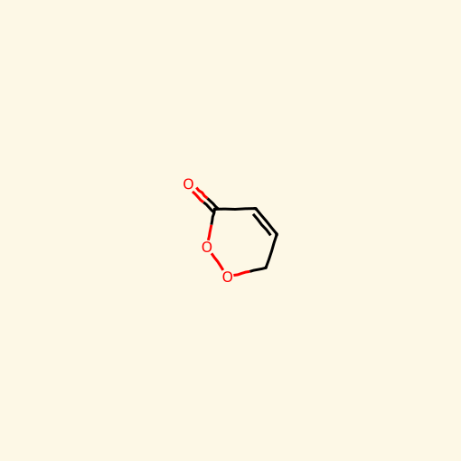 O=C1C=CCOO1